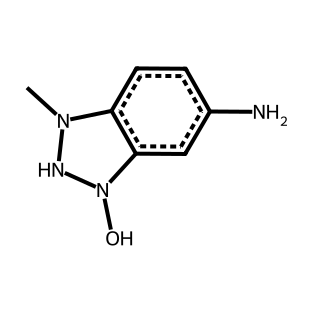 CN1NN(O)c2cc(N)ccc21